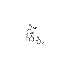 COc1ccc(-c2cc3c4c(c2)[C@@H]2CN(C(=O)O)CC[C@@H]2N4CC3)c(OC)c1